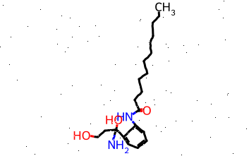 CCCCCCCCCCCC(=O)Nc1ccccc1C(N)(O)CCO